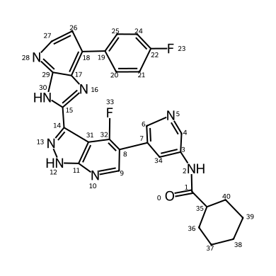 O=C(Nc1cncc(-c2cnc3[nH]nc(-c4nc5c(-c6ccc(F)cc6)ccnc5[nH]4)c3c2F)c1)C1CCCCC1